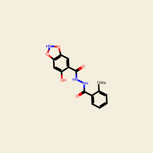 COc1ccccc1C(=O)NNC(=O)c1cc2c(cc1O)ONO2